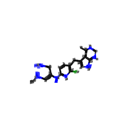 CCN/C=C(\CN)Nc1ccc(Cc2c[nH]c3ncnc(C)c23)c(F)n1